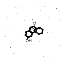 Oc1ccc2c(c1)C13CCCC=C1[C@@H](C2)NCC3